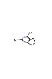 CC(=O)c1nc(C#N)cc2ccccc12